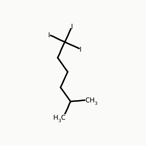 CC(C)CCCC(I)(I)I